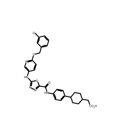 O=C(O)CC1CCC(c2ccc(NC(=O)c3nnc(Nc4ccc(OCc5cccc(Cl)c5)nc4)o3)cc2)CC1